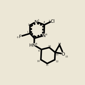 Fc1cnc(Cl)nc1NC1CCCC2(CO2)C1